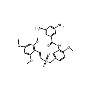 COc1cc(OC)c(C=CS(=O)(=O)Cc2ccc(OC)c(NC(=O)c3cc(N)cc(N)c3)c2)c(OC)c1